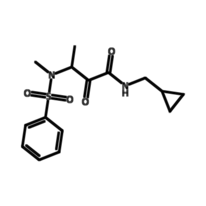 CC(C(=O)C(=O)NCC1CC1)N(C)S(=O)(=O)c1ccccc1